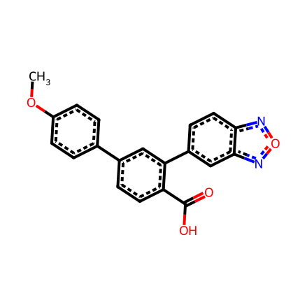 COc1ccc(-c2ccc(C(=O)O)c(-c3ccc4nonc4c3)c2)cc1